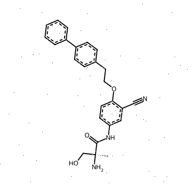 C[C@](N)(CO)C(=O)Nc1ccc(OCCc2ccc(-c3ccccc3)cc2)c(C#N)c1